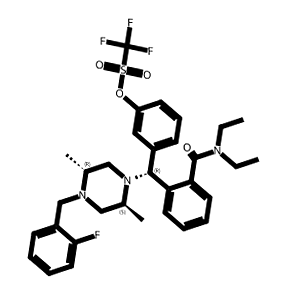 CCN(CC)C(=O)c1ccccc1[C@@H](c1cccc(OS(=O)(=O)C(F)(F)F)c1)N1C[C@@H](C)N(Cc2ccccc2F)C[C@@H]1C